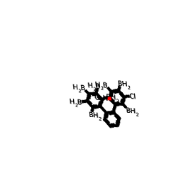 Bc1c(B)c(B)c(-c2ccccc2-c2c(B)c(Cl)c(B)c(B)c2[N+](=O)[O-])c(B)c1B